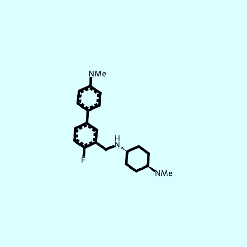 CNc1ccc(-c2ccc(F)c(CN[C@H]3CC[C@H](NC)CC3)c2)cc1